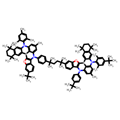 Cc1cc(C)c(N2c3cc4c(cc3B3c5oc6cc(C(C)(C)C)ccc6c5N(c5ccc(C(C)(C)CCC(C)(C)c6ccc7c8c(oc7c6)B6c7cc9c(cc7N(c7c(C)cc(C(C)(C)C)cc7C)c7cc(C)cc(c76)N8c6ccc(C(C)(C)C)cc6)C(C)(C)CCC9(C)C)cc5)c5cc(C)cc2c53)C(C)(C)CCC4(C)C)c(C)c1